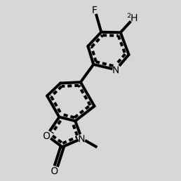 [2H]c1cnc(-c2ccc3oc(=O)n(C)c3c2)cc1F